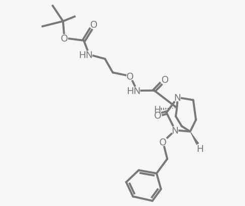 CC(C)(C)OC(=O)NCCONC(=O)[C@@H]1CC[C@@H]2CCN1C(=O)N2OCc1ccccc1